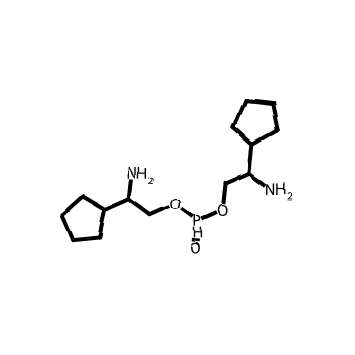 NC(CO[PH](=O)OCC(N)C1CCCC1)C1CCCC1